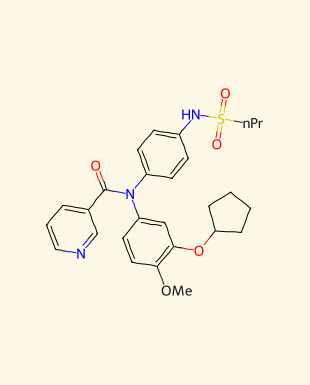 CCCS(=O)(=O)Nc1ccc(N(C(=O)c2cccnc2)c2ccc(OC)c(OC3CCCC3)c2)cc1